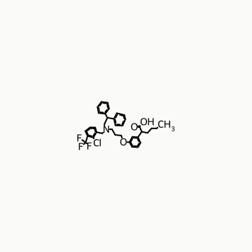 CCCCC(C(=O)O)c1cccc(OCCCN(Cc2cccc(C(F)(F)F)c2Cl)CC(c2ccccc2)c2ccccc2)c1